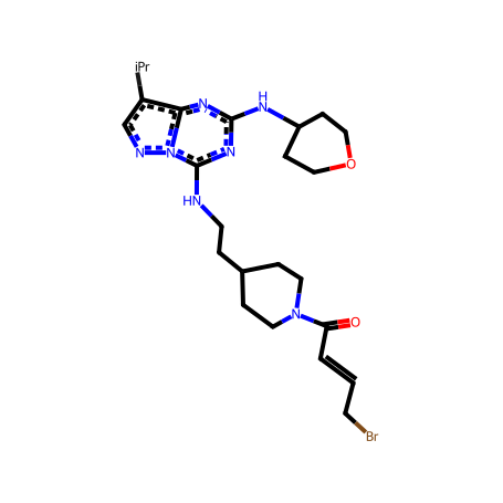 CC(C)c1cnn2c(NCCC3CCN(C(=O)/C=C/CBr)CC3)nc(NC3CCOCC3)nc12